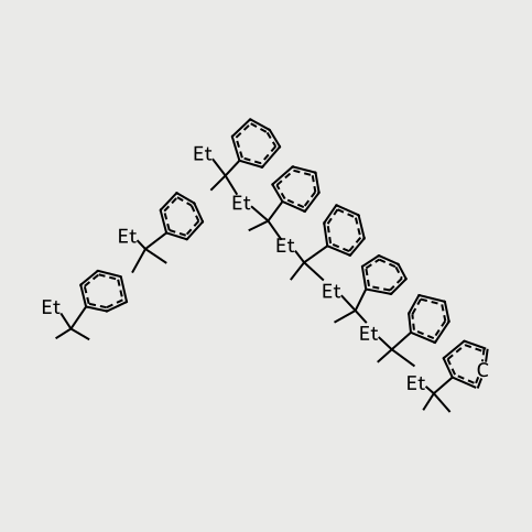 CCC(C)(C)c1ccccc1.CCC(C)(C)c1ccccc1.CCC(C)(C)c1ccccc1.CCC(C)(C)c1ccccc1.CCC(C)(C)c1ccccc1.CCC(C)(C)c1ccccc1.CCC(C)(C)c1ccccc1.CCC(C)(C)c1ccccc1